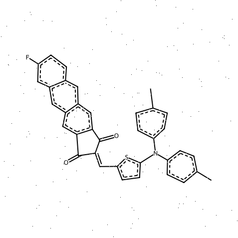 Cc1ccc(N(c2ccc(C)cc2)c2ccc(/C=C3\C(=O)c4cc5cc6ccc(F)cc6cc5cc4C3=O)s2)cc1